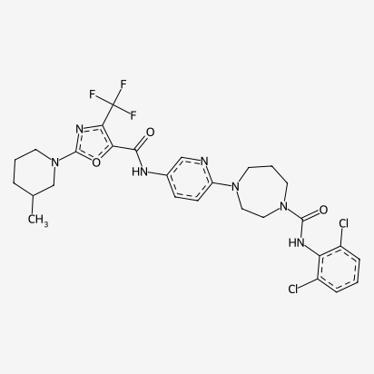 CC1CCCN(c2nc(C(F)(F)F)c(C(=O)Nc3ccc(N4CCCN(C(=O)Nc5c(Cl)cccc5Cl)CC4)nc3)o2)C1